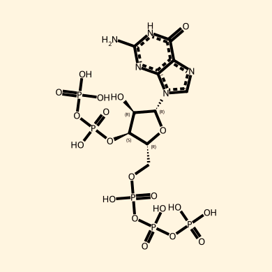 Nc1nc2c(ncn2[C@@H]2O[C@H](COP(=O)(O)OP(=O)(O)OP(=O)(O)O)[C@@H](OP(=O)(O)OP(=O)(O)O)[C@H]2O)c(=O)[nH]1